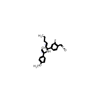 C/C=C(\NC(/C=C/CCC)c1ccc(C=C=O)c(F)c1)c1ccc(OC)cc1